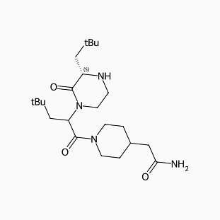 CC(C)(C)CC(C(=O)N1CCC(CC(N)=O)CC1)N1CCN[C@@H](CC(C)(C)C)C1=O